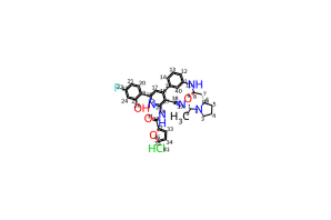 CCN1CCC[C@H]1CC(=O)Nc1cccc(-c2cc(-c3ccc(F)cc3O)nc(NC(=O)c3ccco3)c2C#N)c1.Cl